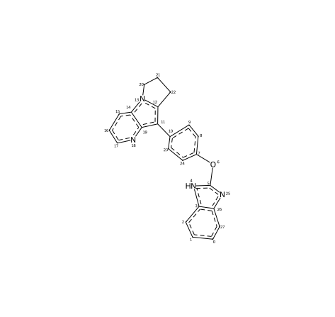 c1ccc2[nH]c(Oc3ccc(-c4c5n(c6cccnc46)CCC5)cc3)nc2c1